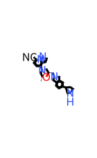 C[C@@H]1CN(c2ccc(C#N)n3nccc23)C[C@H](CN2Cc3ccc(C4CCNC4)cc3C2)O1